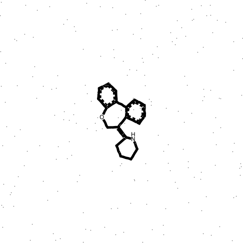 c1ccc2c(c1)OCC(=C1CCCCN1)c1ccccc1-2